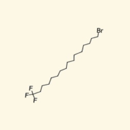 FC(F)(F)CCCCCCCCCCCCCCCBr